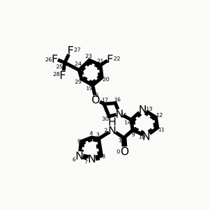 O=C(Nc1ccnnc1)c1nccnc1N1CC(Oc2cc(F)cc(C(F)(F)F)c2)C1